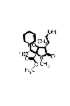 COC(=O)[C@]1([C@H](O)[C@@H]2C=CCCC2)N(C)C(=O)[C@H](CCO)[C@]1(C)O